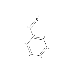 S=Cc1ccccc1